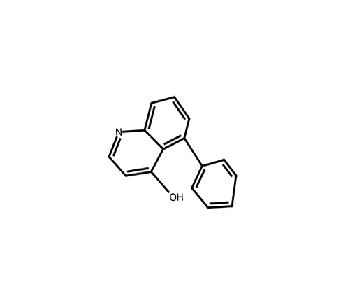 Oc1ccnc2cccc(-c3ccccc3)c12